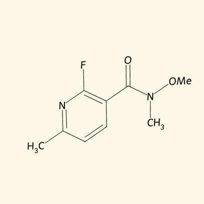 CON(C)C(=O)c1ccc(C)nc1F